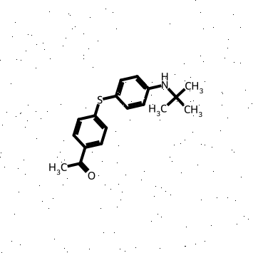 CC(=O)c1ccc(Sc2ccc(NC(C)(C)C)cc2)cc1